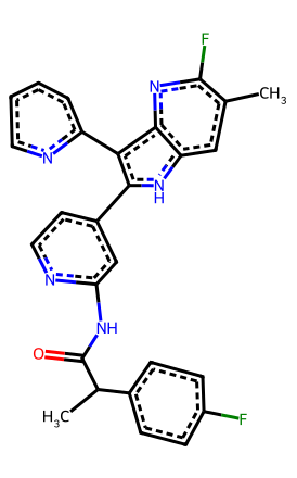 Cc1cc2[nH]c(-c3ccnc(NC(=O)C(C)c4ccc(F)cc4)c3)c(-c3ccccn3)c2nc1F